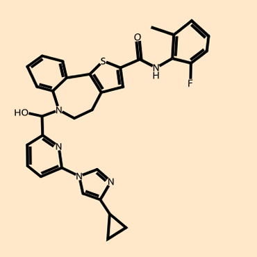 Cc1cccc(F)c1NC(=O)c1cc2c(s1)-c1ccccc1N(C(O)c1cccc(-n3cnc(C4CC4)c3)n1)CC2